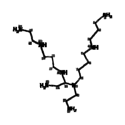 NCCCNCCCCN(CCN)C(CN)NCCCNCCN